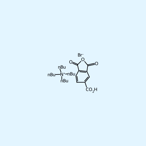 CCCC[N+](CCCC)(CCCC)CCCC.O=C(O)c1ccc2c(c1)C(=O)OC2=O.[Br-]